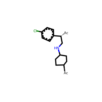 CC(=O)C1CCC(NC[C@@H](C(C)=O)c2ccc(Cl)cc2)CC1